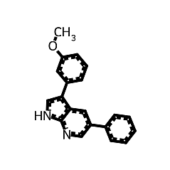 COc1cccc(-c2c[nH]c3ncc(-c4ccccc4)cc23)c1